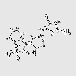 CS(=O)(=O)c1cnc2ccc(/C=C3\SC(N)=NC3=O)cc2c1-c1ccccc1